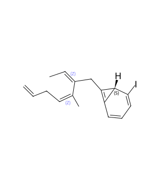 C=CC/C=C(C)\C(=C/C)CC1=C2C=CC=C(I)[C@H]21